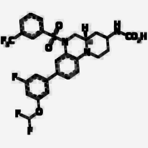 O=C(O)NC1CCN2c3ccc(-c4cc(F)cc(OC(F)F)c4)cc3N(S(=O)(=O)c3cccc(C(F)(F)F)c3)C[C@@H]2C1